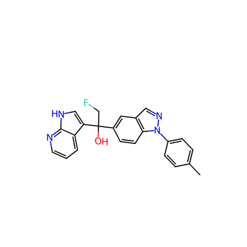 Cc1ccc(-n2ncc3cc(C(O)(CF)c4c[nH]c5ncccc45)ccc32)cc1